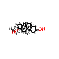 C[C@]12CC[C@H](O)CC1=CC[C@@H]1[C@@H]2CC[C@@]2(C)[C@H]1CC[C@]2(C)O